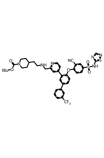 CC(C)(C)OC(=O)N1CCC(CCNCc2cc(-c3cc(-c4cccc(C(F)(F)F)c4)ccc3Oc3ccc(S(=O)(=O)Nc4ncns4)cc3C#N)ccn2)CC1